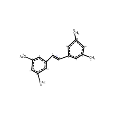 CC(=O)Oc1cc(/C=C/c2cc(C)cc(C)c2)cc(OC(C)=O)c1